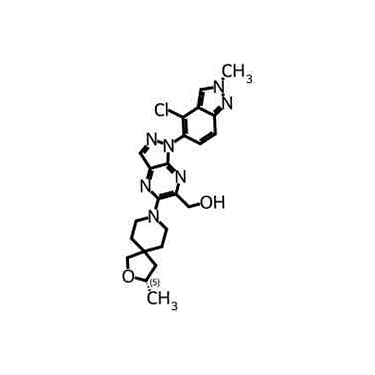 C[C@H]1CC2(CCN(c3nc4cnn(-c5ccc6nn(C)cc6c5Cl)c4nc3CO)CC2)CO1